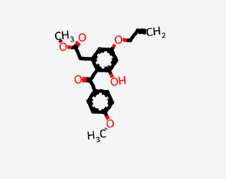 C=CCOc1cc(O)c(C(=O)c2ccc(OC)cc2)c(CC(=O)OC)c1